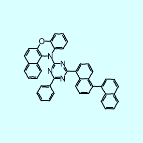 c1ccc(-c2nc(-c3cccc4c(-c5cccc6ccccc56)cccc34)nc(N3c4ccccc4Oc4ccc5ccccc5c43)n2)cc1